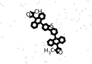 Cc1cocc1-c1c2ccccc2c(-c2ccc3c(c2)sc2ccc(-c4c5ccccc5c(-c5cocc5C)c5ccccc45)cc23)c2ccccc12